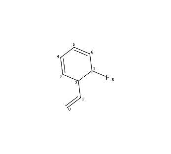 C=CC1C=CC=C[C]1F